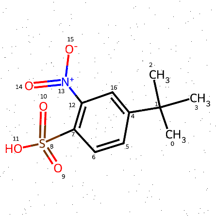 CC(C)(C)c1ccc(S(=O)(=O)O)c([N+](=O)[O-])c1